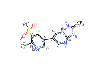 CCS(=O)(=O)c1cc(-c2cnc3nc(C(F)(F)F)nn3c2)cnc1Cl